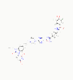 Cn1c(=O)n(C2CCC(=O)NC2=O)c2ccc(CCCN3CCN(c4cnc(-c5nc([C@]67CC[C@](CNC(=O)c8cc(F)c(O)c(F)c8F)(CC6)CC7)no5)cn4)CC3)cc21